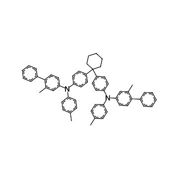 Cc1ccc(N(c2ccc(C3(c4ccc(N(c5ccc(C)cc5)c5ccc(-c6ccccc6)c(C)c5)cc4)CCCCC3)cc2)c2ccc(-c3ccccc3)c(C)c2)cc1